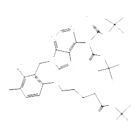 CC(C)(C)OC(=O)CCCCOc1ccc(Cl)c(Cl)c1Cn1cnc2c(N(C(=O)OC(C)(C)C)C(=O)OC(C)(C)C)ncnc21